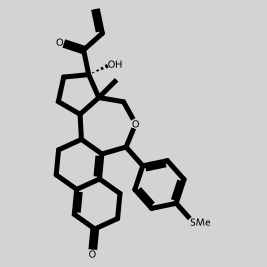 C=CC(=O)[C@]1(O)CCC2C3CCC4=CC(=O)CCC4=C3C(c3ccc(SC)cc3)OCC21C